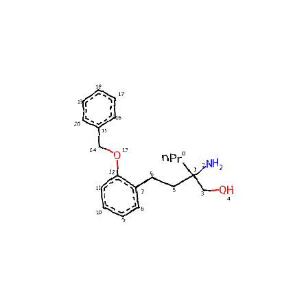 CCCC(N)(CO)CCc1ccccc1OCc1ccccc1